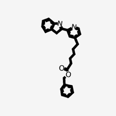 O=C(CCCCCc1ccnc(C2=Nc3ccccc3C2)c1)OCc1ccccc1